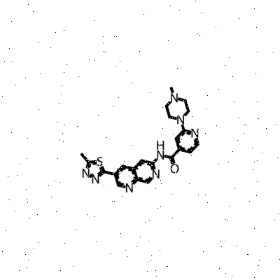 Cc1nnc(-c2cnc3cnc(NC(=O)c4ccnc(N5CCN(C)CC5)c4)cc3c2)s1